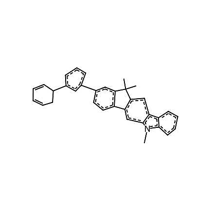 Cn1c2ccccc2c2cc3c(cc21)-c1ccc(-c2cccc(C4C=CC=CC4)c2)cc1C3(C)C